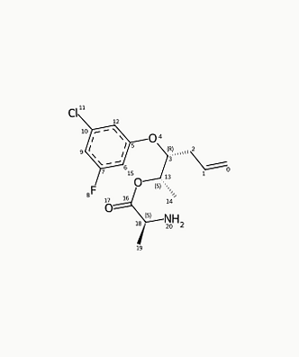 C=CC[C@@H](Oc1cc(F)cc(Cl)c1)[C@H](C)OC(=O)[C@H](C)N